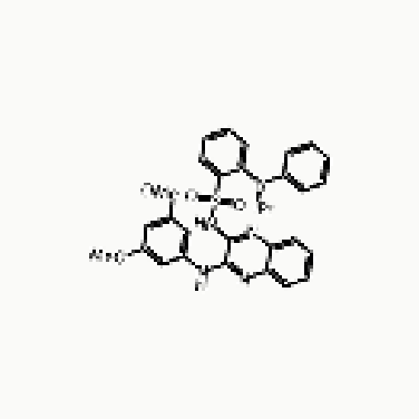 COc1cc(Nc2nc3ccccc3nc2NS(=O)(=O)c2ccccc2N(c2ccccc2)C(C)C)cc(OC)c1